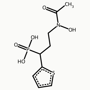 CC(=O)N(O)CCC(c1cccs1)P(=O)(O)O